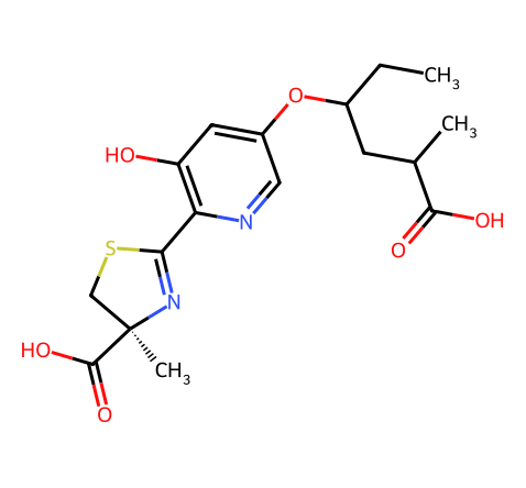 CCC(CC(C)C(=O)O)Oc1cnc(C2=N[C@@](C)(C(=O)O)CS2)c(O)c1